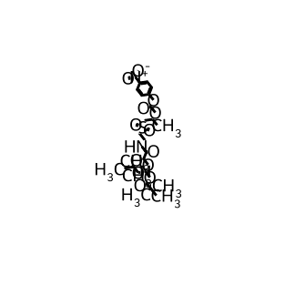 CC(CS(=O)(=O)CCNC(=O)CON(OC(=O)C(C)(C)C)OC(=O)C(C)(C)C)OC(=O)Oc1ccc([N+](=O)[O-])cc1